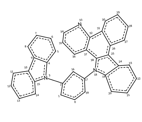 c1cc(-n2c3ccccc3c3ccccc32)cc(-n2c3ccccc3c3c4ccccc4c4ncccc4c32)c1